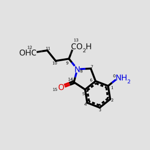 Nc1cccc2c1CN(C(CCC=O)C(=O)O)C2=O